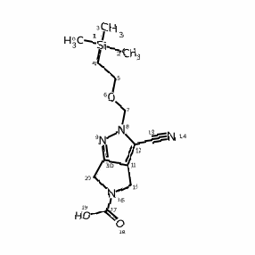 C[Si](C)(C)CCOCn1nc2c(c1C#N)CN(C(=O)O)C2